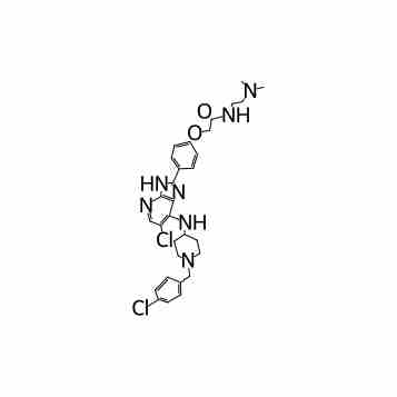 CN(C)CCNC(=O)COc1ccc(-c2nc3c(NC4CCN(Cc5ccc(Cl)cc5)CC4)c(Cl)cnc3[nH]2)cc1